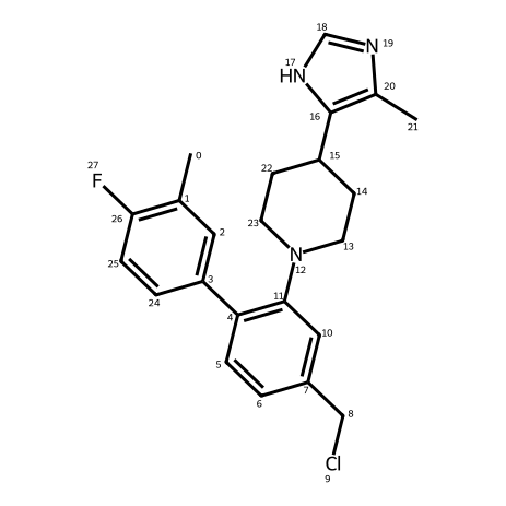 Cc1cc(-c2ccc(CCl)cc2N2CCC(c3[nH]cnc3C)CC2)ccc1F